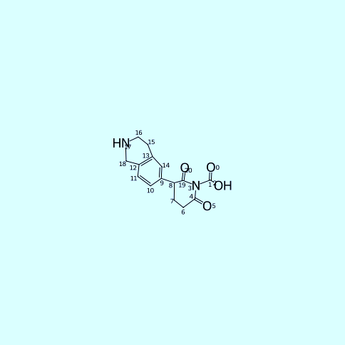 O=C(O)N1C(=O)CCC(c2ccc3c(c2)CCNC3)C1=O